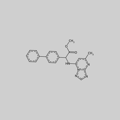 COC(=O)C(Nc1cc(C)nc2ncnn12)c1ccc(-c2ccccc2)cc1